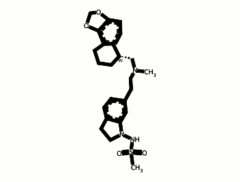 CN(CCc1ccc2c(c1)N(NS(C)(=O)=O)CC2)C[C@@H]1CCCc2c1ccc1c2OCO1